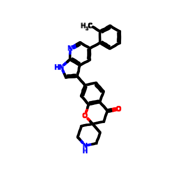 Cc1ccccc1-c1cnc2[nH]cc(-c3ccc4c(c3)OC3(CCNCC3)CC4=O)c2c1